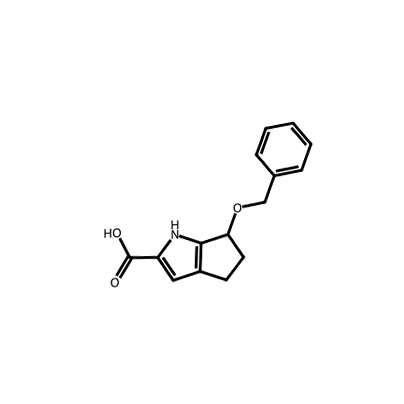 O=C(O)c1cc2c([nH]1)C(OCc1ccccc1)CC2